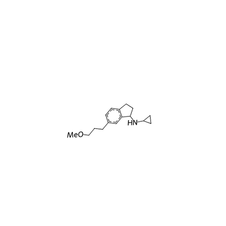 COCCCc1ccc2c(c1)C(NC1CC1)CC2